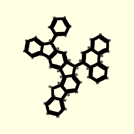 c1ccc(-n2c3ccccc3c3cc4c5c6sc7ccccc7c6ccc5n(-c5cc6ccccc6c6ccccc56)c4cc32)cc1